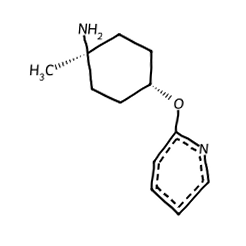 C[C@]1(N)CC[C@H](Oc2ccccn2)CC1